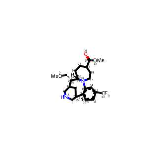 COC[C@H]1C2CNC[C@@H](C2)c2ccc(C(F)(F)F)cc2N2CCC(C(=O)OC)CC[C@@H]12